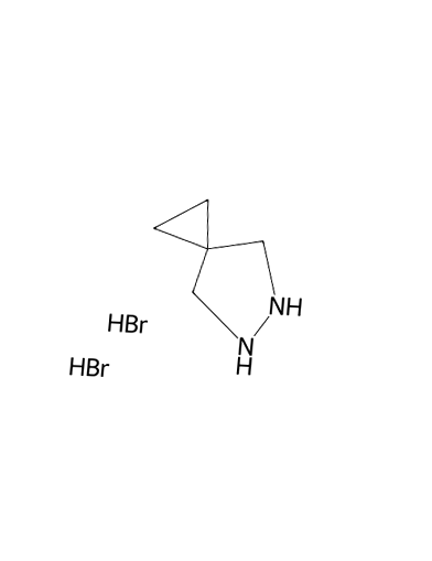 Br.Br.C1CC12CNNC2